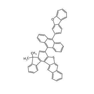 CC1(C)c2ccccc2-c2c1cc(-c1c3ccccc3c(-c3ccc4c(c3)oc3ccccc34)c3ccccc13)c1sc3cc4ccccc4cc3c21